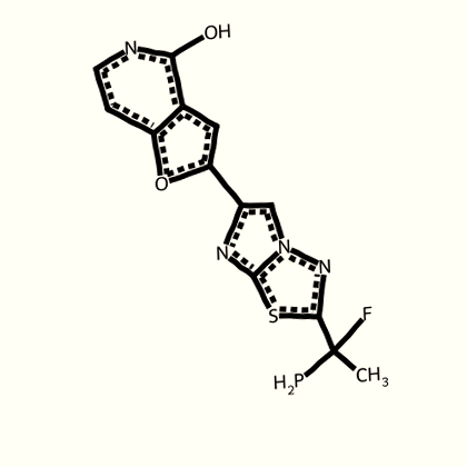 CC(F)(P)c1nn2cc(-c3cc4c(O)nccc4o3)nc2s1